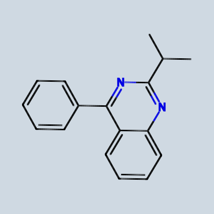 CC(C)c1nc(-c2ccccc2)c2ccccc2n1